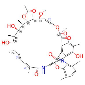 CO[C@H]1/C=C/O[C@@]2(C)Oc3c(C)c(O)c4c(=O)c(c5oc6c(C)ccc(C)c6nc-5c4c3C2=O)NC(=O)/C(C)=C\C=C\[C@H](C)[C@H](O)[C@@H](C)[C@@H](O)[C@@H](C)[C@H](OC(C)=O)[C@@H]1C